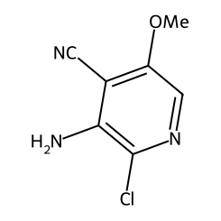 COc1cnc(Cl)c(N)c1C#N